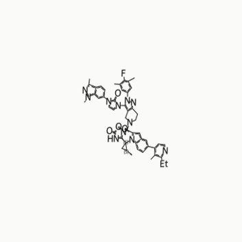 CCc1nccc(-c2ccc3c(c2)cc(C(=O)N2CCc4nn(-c5cc(C)c(F)c(C)c5)c(-n5ccn(-c6ccc7c(C)nn(C)c7c6)c5=O)c4C2)n3[C@@]2(c3noc(=O)[nH]3)C[C@@H]2C)c1C